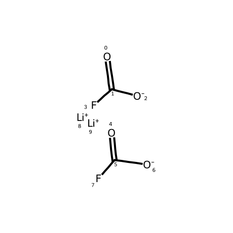 O=C([O-])F.O=C([O-])F.[Li+].[Li+]